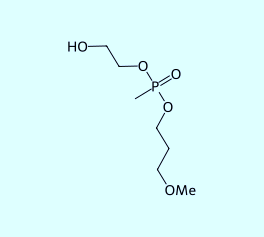 COCCCOP(C)(=O)OCCO